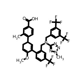 COC1=CCC(c2ccc(C(=O)O)cc2C)C=C1c1ccc(C(F)(F)F)cc1CN(Cc1cc(C(F)(F)F)cc(C(F)(F)F)c1)c1nnn(C)n1